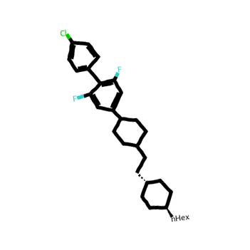 CCCCCC[C@H]1CC[C@H](CCC2CCC(c3cc(F)c(-c4ccc(Cl)cc4)c(F)c3)CC2)CC1